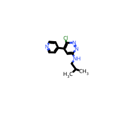 CC(C)CNc1cc(-c2ccncc2)c(Cl)nn1